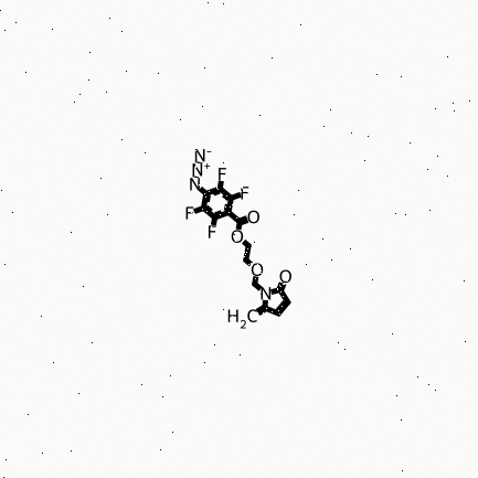 C=C1C=CC(=O)N1COCCOC(=O)c1c(F)c(F)c(N=[N+]=[N-])c(F)c1F